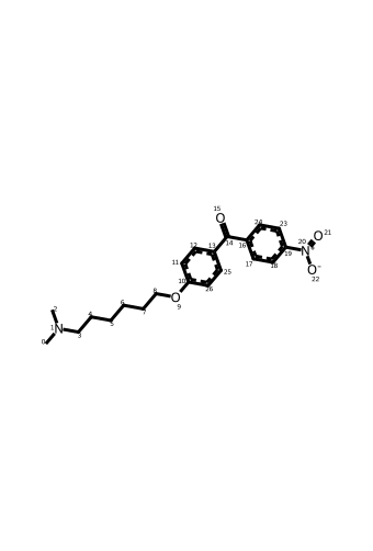 CN(C)CCCCCCOc1ccc(C(=O)c2ccc([N+](=O)[O-])cc2)cc1